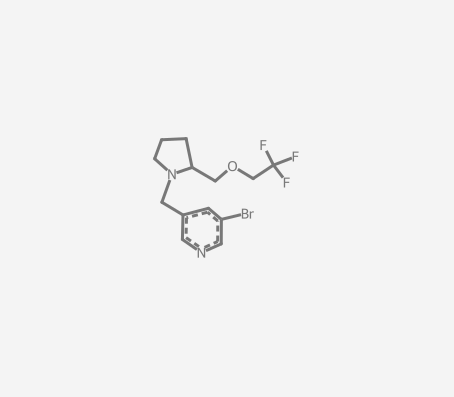 FC(F)(F)COCC1CCCN1Cc1cncc(Br)c1